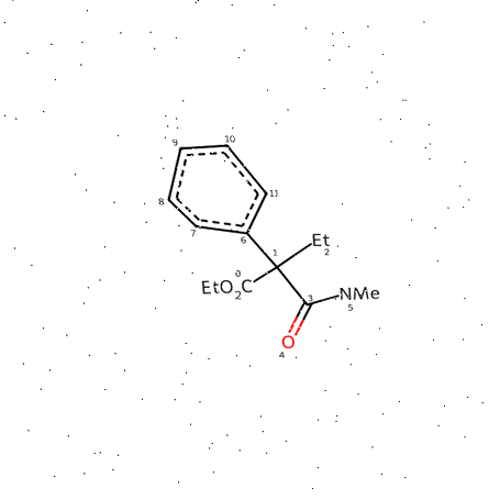 CCOC(=O)C(CC)(C(=O)NC)c1ccccc1